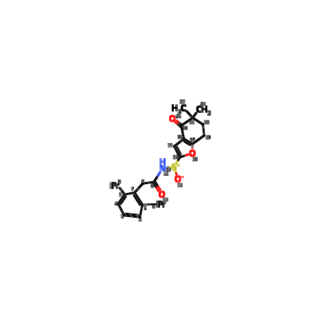 CC(C)c1cccc(C(C)C)c1CC(=O)N[S+]([O-])c1cc2c(o1)CCC(C)(C)C2=O